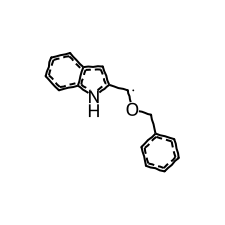 [CH](OCc1ccccc1)c1cc2ccccc2[nH]1